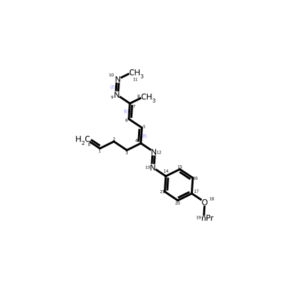 C=CCC\C(=C/C=C(C)/N=N\C)N=Nc1ccc(OCCC)cc1